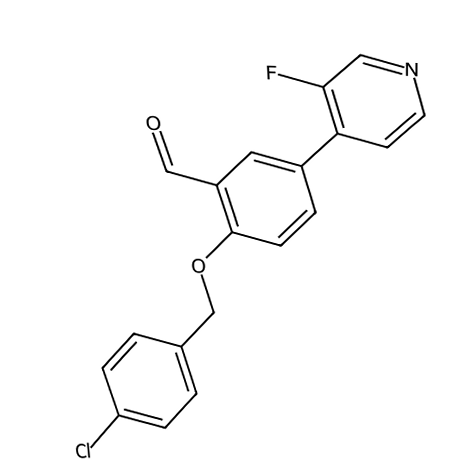 O=Cc1cc(-c2ccncc2F)ccc1OCc1ccc(Cl)cc1